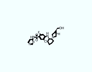 O=S(=O)(Nc1ccncn1)c1cc(Cl)c(N[C@@H]2CCCC[C@H]2N2CC3[C@@H](CO)[C@H]3C2)cc1F